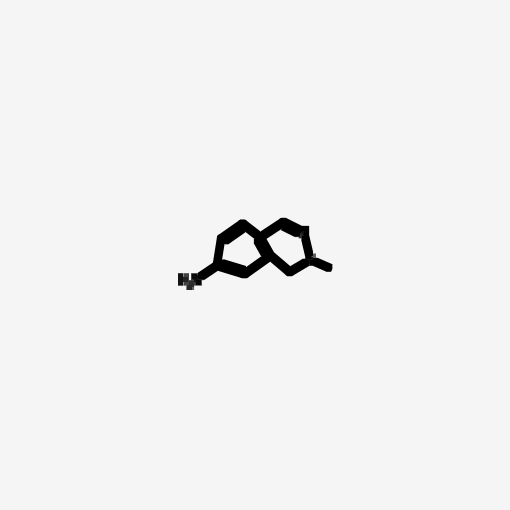 CN1Cc2cc(N)ccc2C=N1